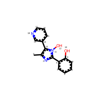 Cc1nc(-c2ccccc2O)n(O)c1-c1cccnc1